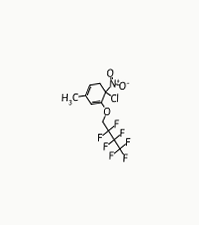 CC1=CCC(Cl)([N+](=O)[O-])C(OCC(F)(F)C(F)(F)C(F)(F)F)=C1